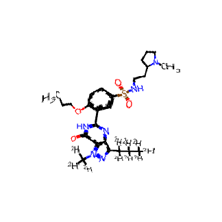 [2H]C([2H])([2H])n1nc(C([2H])([2H])C([2H])([2H])C([2H])([2H])[2H])c2nc(-c3cc(S(=O)(=O)NCCC4CCCN4C)ccc3OCCC)[nH]c(=O)c21